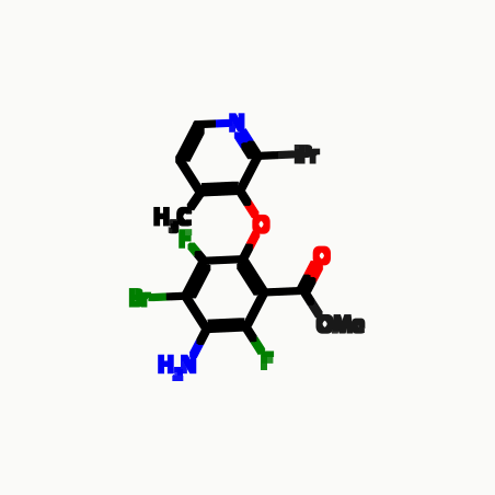 COC(=O)c1c(F)c(N)c(Br)c(F)c1Oc1c(C)ccnc1C(C)C